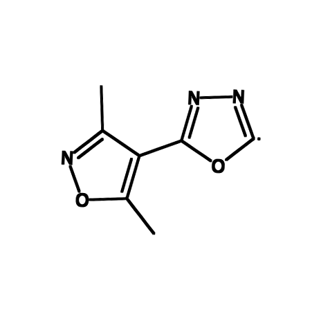 Cc1noc(C)c1-c1nn[c]o1